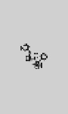 Cc1onc(-c2ccccc2)c1C(=O)N1CCCC1Cc1cccnc1